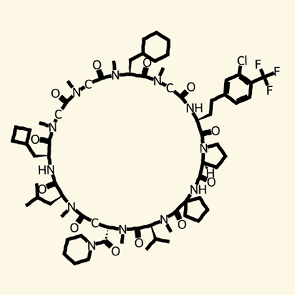 CC(C)C[C@H]1C(=O)N[C@@H](CC2CCC2)C(=O)N(C)CC(=O)N(C)CC(=O)N(C)[C@@H](CC2CCCCC2)C(=O)N(C)CC(=O)N[C@@H](CCc2ccc(C(F)(F)F)c(Cl)c2)C(=O)N2CCC[C@H]2C(=O)NC2(CCCC2)C(=O)N(C)[C@@H](C(C)C)C(=O)N(C)[C@H](C(=O)N2CCCCC2)CC(=O)N1C